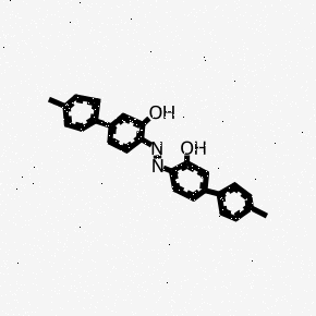 Cc1ccc(-c2ccc(/N=N/c3ccc(-c4ccc(C)cc4)cc3O)c(O)c2)cc1